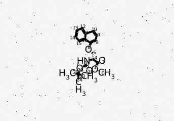 COC(=O)[C@@H](COc1cccc2ccccc12)NC(=O)OC(C)(C)C